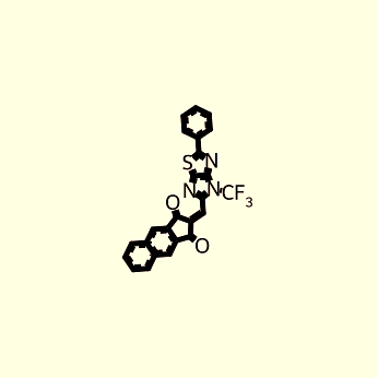 O=C1C(=Cc2nc3sc(-c4ccccc4)nc3n2C(F)(F)F)C(=O)c2cc3ccccc3cc21